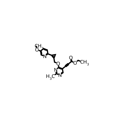 CCOC(=O)C#Cc1cnc(C)nc1OCC1=C(c2ccc(OC)cn2)C1